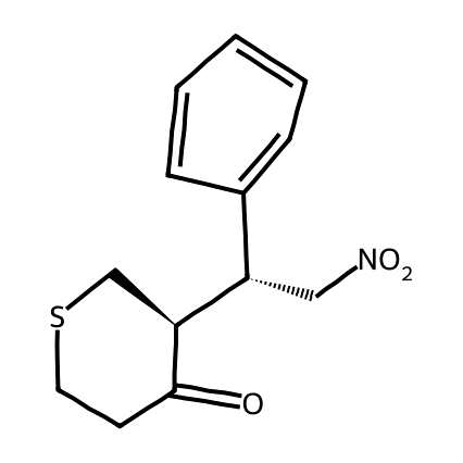 O=C1CCSC[C@H]1[C@@H](C[N+](=O)[O-])c1ccccc1